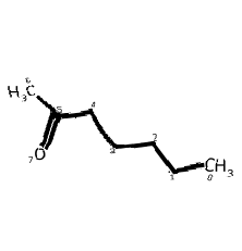 C[CH]CCCC(C)=O